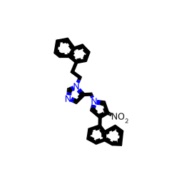 O=[N+]([O-])c1cn(Cc2cncn2CCc2cccc3ccccc23)cc1-c1cccc2ccccc12